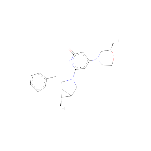 C[C@@H]1C2CN(c3cc(N4CCO[C@H](C)C4)cc(=O)[nH]3)[C@@H](Cc3ccccc3)C21